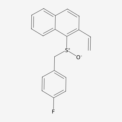 C=Cc1ccc2ccccc2c1[S+]([O-])Cc1ccc(F)cc1